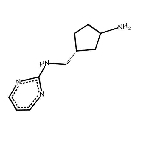 NC1CC[C@@H](CNc2ncccn2)C1